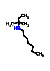 CCCCCCCNC(C)(C)CC